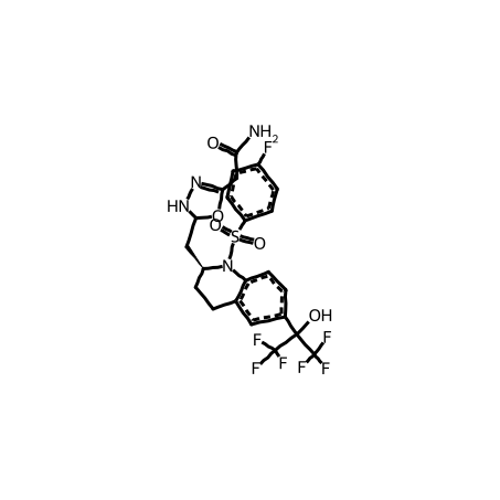 NC(=O)CC1=NNC(C[C@@H]2CCc3cc(C(O)(C(F)(F)F)C(F)(F)F)ccc3N2S(=O)(=O)c2ccc(F)cc2)O1